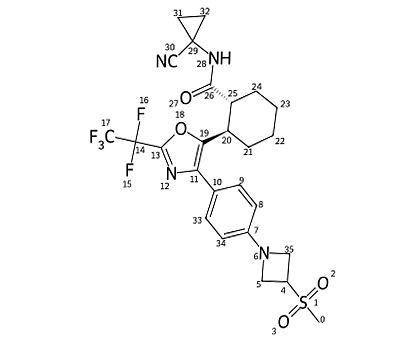 CS(=O)(=O)C1CN(c2ccc(-c3nc(C(F)(F)C(F)(F)F)oc3[C@@H]3CCCC[C@H]3C(=O)NC3(C#N)CC3)cc2)C1